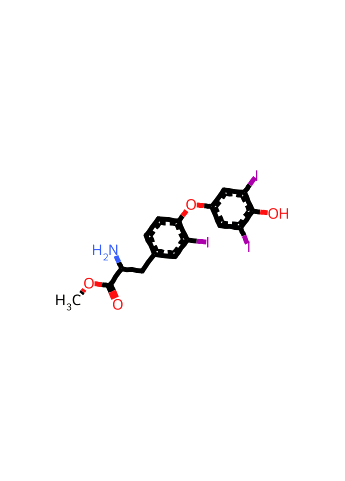 COC(=O)C(N)Cc1ccc(Oc2cc(I)c(O)c(I)c2)c(I)c1